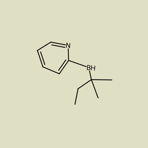 CCC(C)(C)Bc1ccccn1